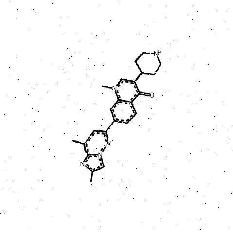 Cc1cn2nc(-c3ccc4c(=O)c(C5CCNCC5)cn(C)c4c3)cc(C)c2n1